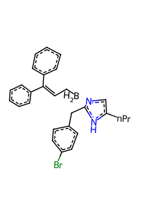 BCC=C(c1ccccc1)c1ccccc1.CCCc1cnc(Cc2ccc(Br)cc2)[nH]1